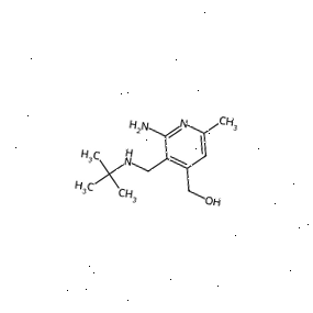 Cc1cc(CO)c(CNC(C)(C)C)c(N)n1